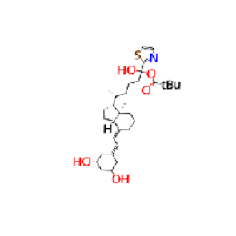 C[C@H](CCC[C@@](O)(OC(=O)C(C)(C)C)c1nccs1)[C@H]1CC[C@H]2/C(=C/C=C3C[C@@H](O)C[C@H](O)C3)CCC[C@]12C